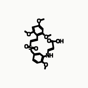 COc1cc(OC)c(/C=C/S(=O)(=O)Cc2ccc(OC)c(NC=CC(=O)O)c2)c(OC)c1